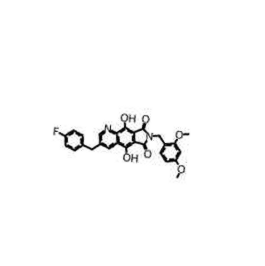 COc1ccc(CN2C(=O)c3c(c(O)c4ncc(Cc5ccc(F)cc5)cc4c3O)C2=O)c(OC)c1